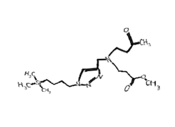 COC(=O)CCN(CCC(C)=O)Cc1cn(CCCC[Si](C)(C)C)nn1